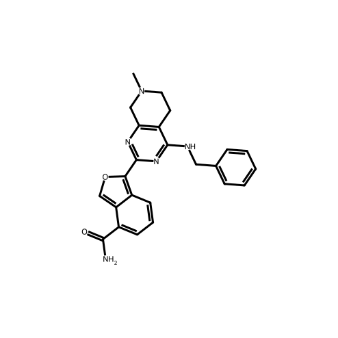 CN1CCc2c(nc(-c3occ4c(C(N)=O)cccc34)nc2NCc2ccccc2)C1